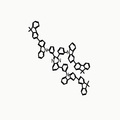 CC1(C)c2ccccc2-c2cc(-c3ccc4c(c3)c3ccccc3n4-c3cccc(-c4nc5cccc(-c6cccc(-n7c8ccccc8c8cc(-c9ccc%10c(c9)-c9ccccc9C%10(C)C)ccc87)c6)c5nc4-c4cccc(-n5c6ccccc6c6cc(-c7ccc8c(c7)-c7ccccc7C8(C)C)ccc65)c4)c3)ccc21